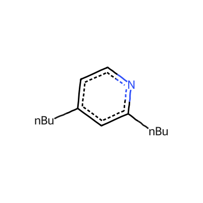 CCCCc1ccnc(CCCC)c1